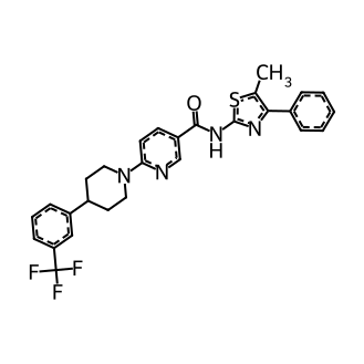 Cc1sc(NC(=O)c2ccc(N3CCC(c4cccc(C(F)(F)F)c4)CC3)nc2)nc1-c1ccccc1